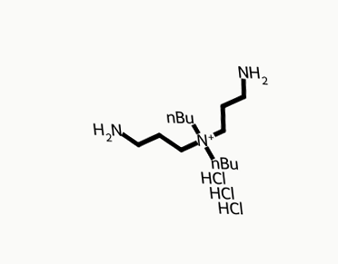 CCCC[N+](CCCC)(CCCN)CCCN.Cl.Cl.Cl